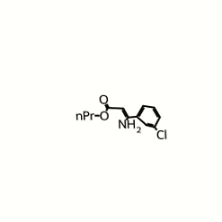 CCCOC(=O)C=C(N)c1cccc(Cl)c1